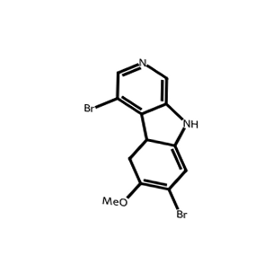 COC1=C(Br)C=C2Nc3cncc(Br)c3C2C1